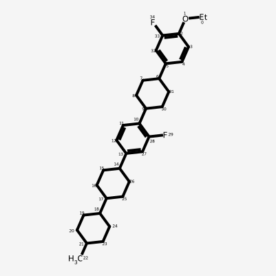 CCOc1ccc(C2CCC(c3ccc(C4CCC(C5CCC(C)CC5)CC4)cc3F)CC2)cc1F